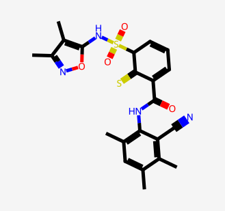 Cc1cc(C)c(NC(=O)C2=CC=CC(S(=O)(=O)Nc3onc(C)c3C)C2=S)c(C#N)c1C